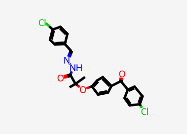 CC(C)(Oc1ccc(C(=O)c2ccc(Cl)cc2)cc1)C(=O)N/N=C/c1ccc(Cl)cc1